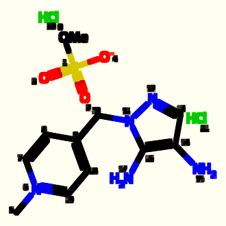 COS(=O)(=O)[O-].C[n+]1ccc(Cn2ncc(N)c2N)cc1.Cl.Cl